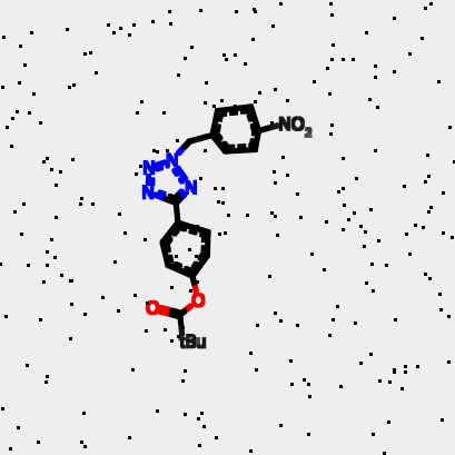 CC(C)(C)C(=O)Oc1ccc(-c2nnn(Cc3ccc([N+](=O)[O-])cc3)n2)cc1